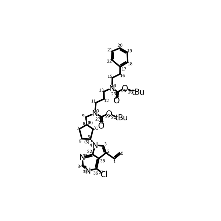 C=Cc1cn([C@H]2CC[C@@H](CN(CCCN(CCc3ccccc3)C(=O)OC(C)(C)C)C(=O)OC(C)(C)C)C2)c2ncnc(Cl)c12